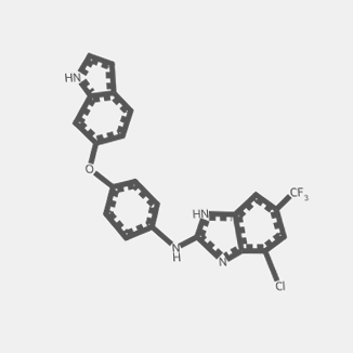 FC(F)(F)c1cc(Cl)c2nc(Nc3ccc(Oc4ccc5cc[nH]c5c4)cc3)[nH]c2c1